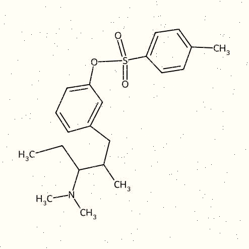 CCC(C(C)Cc1cccc(OS(=O)(=O)c2ccc(C)cc2)c1)N(C)C